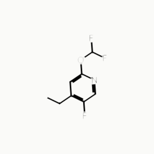 CCc1cc(OC(F)F)ncc1F